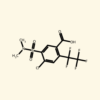 CN(C)S(=O)(=O)c1cc(C(=O)O)c(C(F)(F)C(F)(F)F)cc1Cl